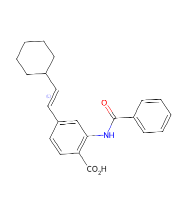 O=C(Nc1cc(/C=C/C2CCCCC2)ccc1C(=O)O)c1ccccc1